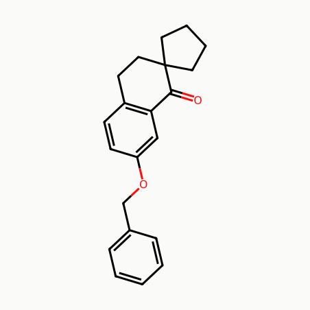 O=C1c2cc(OCc3ccccc3)ccc2CCC12CCCC2